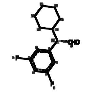 O=C[C@H](c1cc(F)cc(F)c1)C1CCCCC1